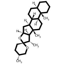 C[C@@H]1CC[C@@]2(OC1)O[C@H]1C[C@H]3[C@@H]4CC[C@H]5CCCC[C@]5(C)[C@H]4CC[C@]3(C)[C@H]1[C@@H]2C